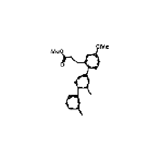 COC(=O)CCc1cc(OC)ccc1-c1ccc(-c2cccc(C)c2)c(C)c1